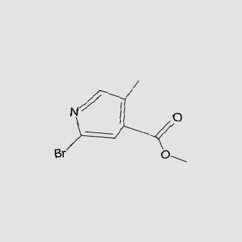 COC(=O)c1cc(Br)ncc1C